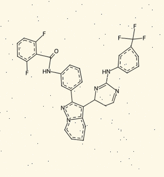 O=C(Nc1cccc(-c2nn3ccccc3c2C2CC=NC(Nc3cccc(C(F)(F)F)c3)=N2)c1)c1c(F)cccc1F